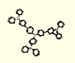 c1ccc(N(c2ccccc2)c2ccc(-c3ccc(N(c4ccc(-c5ccc6c(c5)c5ccccc5n6-c5ccccc5)cc4)c4ccc(N(c5ccccc5)c5ccccc5)cc4)cc3)cc2)cc1